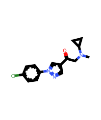 CN(CC(=O)c1cnn(-c2ccc(Cl)cc2)c1)C1CC1